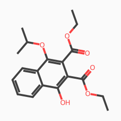 CCOC(=O)c1c(C(=O)OCC)c(OC(C)C)c2ccccc2c1O